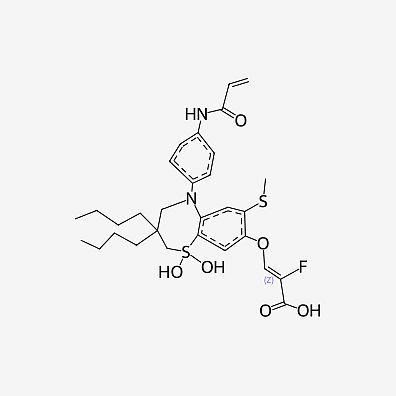 C=CC(=O)Nc1ccc(N2CC(CCCC)(CCCC)CS(O)(O)c3cc(O/C=C(\F)C(=O)O)c(SC)cc32)cc1